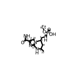 CCOP(=O)(O)NCC1CC(C)Nc2nc(C(N)=O)cn21